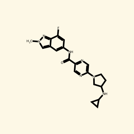 Cn1cc2cc(NC(=O)c3cnc(N4CCC(NC5CC5)C4)cn3)cc(F)c2n1